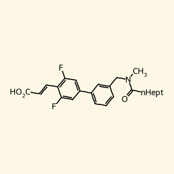 CCCCCCCC(=O)N(C)Cc1cccc(-c2cc(F)c(C=CC(=O)O)c(F)c2)c1